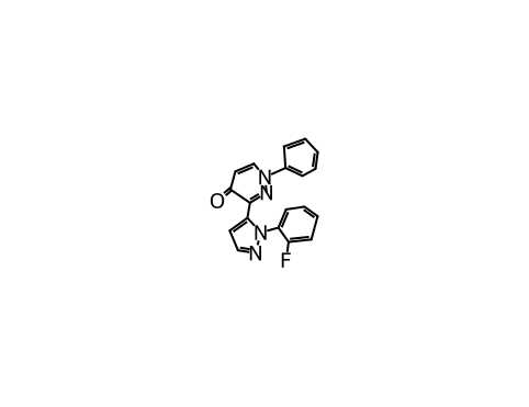 O=c1ccn(-c2ccccc2)nc1-c1ccnn1-c1ccccc1F